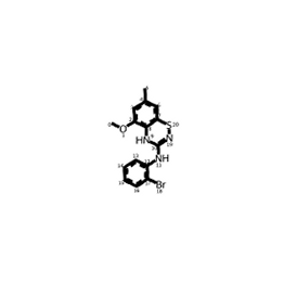 COc1cc(C)cc2c1NC(Nc1ccccc1Br)=NS2